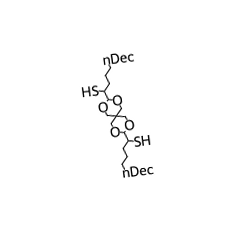 CCCCCCCCCCCCCC(S)C1OCC2(CO1)COC(C(S)CCCCCCCCCCCCC)OC2